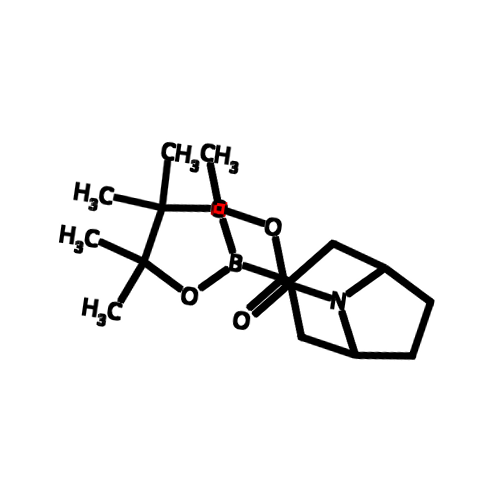 CCOC(=O)N1C2CCC1CC(B1OC(C)(C)C(C)(C)O1)C2